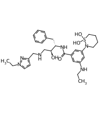 CCNc1cc(C(=O)N[C@@H](Cc2ccccc2)[C@@H](O)CNCc2ccn(CC)n2)cc(N2CCCCS2(O)O)c1